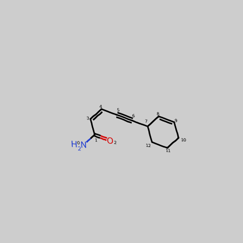 NC(=O)/C=C\C#CC1C=CCCC1